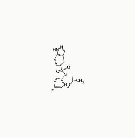 CC(C)CN(c1ccc(F)cc1)S(=O)(=O)c1ccc2[nH]ncc2c1